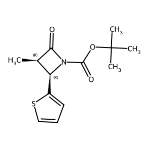 C[C@H]1C(=O)N(C(=O)OC(C)(C)C)[C@H]1c1cccs1